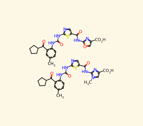 Cc1ccc(NC(=O)Nc2ncc(C(=O)Nc3nc(C(=O)O)cn3C)s2)c(C(=O)C2CCCC2)c1.Cc1ccc(NC(=O)Nc2ncc(C(=O)Nc3nc(C(=O)O)co3)s2)c(C(=O)C2CCCC2)c1